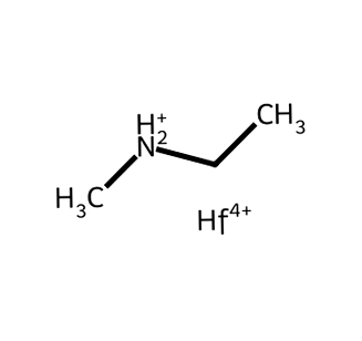 CC[NH2+]C.[Hf+4]